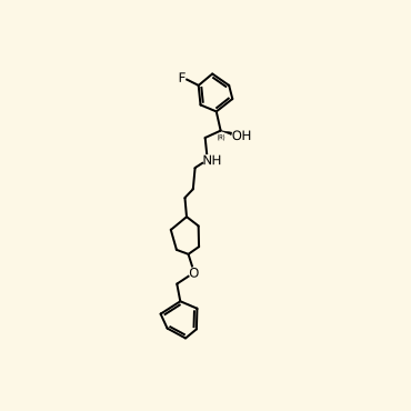 O[C@@H](CNCCCC1CCC(OCc2ccccc2)CC1)c1cccc(F)c1